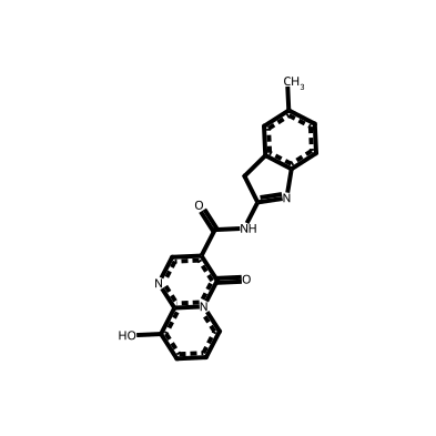 Cc1ccc2c(c1)CC(NC(=O)c1cnc3c(O)cccn3c1=O)=N2